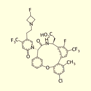 Cc1cc(Cl)cc2c1-c1cc(c(F)c(C(F)(F)F)c1)[C@H](CC(=O)O)NC(=O)[C@@H](n1cc(CCN3CC(F)C3)c(C(F)(F)F)cc1=O)c1cccc(c1)O2